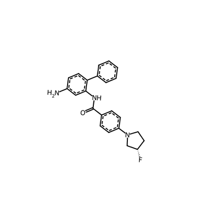 Nc1ccc(-c2ccccc2)c(NC(=O)c2ccc(N3CC[C@H](F)C3)cc2)c1